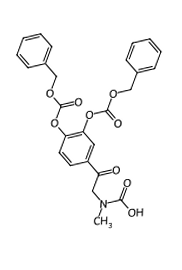 CN(CC(=O)c1ccc(OC(=O)OCc2ccccc2)c(OC(=O)OCc2ccccc2)c1)C(=O)O